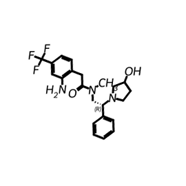 CN(C[C@@H](c1ccccc1)N1CCC(O)C1)C(=O)Cc1ccc(C(F)(F)F)cc1N